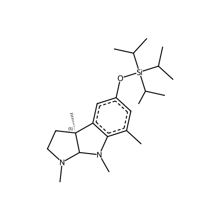 Cc1cc(O[Si](C(C)C)(C(C)C)C(C)C)cc2c1N(C)C1N(C)CC[C@@]21C